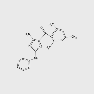 Cc1cc(C)c(C(=O)c2sc(Nc3ccccc3)nc2N)c(C)c1